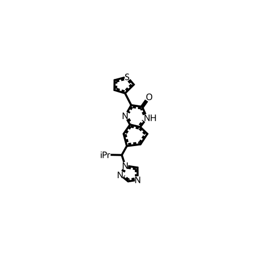 CC(C)C(c1ccc2[nH]c(=O)c(-c3ccsc3)nc2c1)n1cncn1